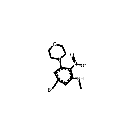 CNc1cc(Br)cc(N2CCOCC2)c1[N+](=O)[O-]